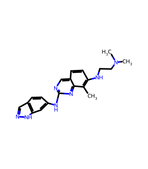 Cc1c(NCCN(C)C)ccc2cnc(Nc3ccc4cn[nH]c4c3)nc12